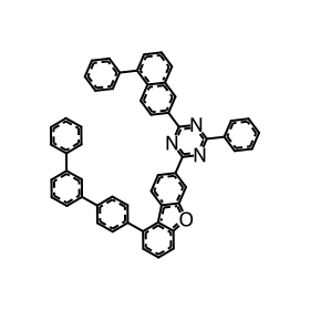 c1ccc(-c2cccc(-c3ccc(-c4cccc5oc6cc(-c7nc(-c8ccccc8)nc(-c8ccc9c(-c%10ccccc%10)cccc9c8)n7)ccc6c45)cc3)c2)cc1